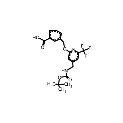 CC(C)(C)OC(=O)NCc1cc(OCc2cccc(C(=O)O)c2)nc(C(F)(F)F)c1